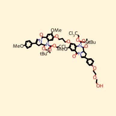 COc1ccc(C2=CN3C(=O)c4cc(OC)c(OCCCOc5cc6c(cc5OC)C(=O)N5C=C(c7ccc(OCCOCCO)cc7)CC5C(O[Si](C)(C)C(C)(C)C)N6C(=O)OCC(Cl)(Cl)Cl)cc4N(C(=O)OCC(Cl)(Cl)Cl)C(O[Si](C)(C)C(C)(C)C)C3C2)cc1